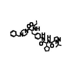 CCC(=O)NC(Cc1ccc(NC(=O)C(NC(=O)c2ccnn2C(C)C)C2CCCC2)cc1)C(=O)N1CCN(Cc2ccccc2)CC1